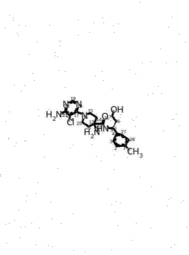 Cc1ccc([C@H](CCO)NC(=O)C2(N)CCN(c3ncnc(N)c3Cl)CC2)cc1